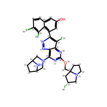 Oc1cc(-c2nnc3c(N4CC5CCC(C4)N5)nc(OC[C@@]45CCCN4C[C@H](F)C5)nc3c2F)c2c(F)c(F)ccc2c1